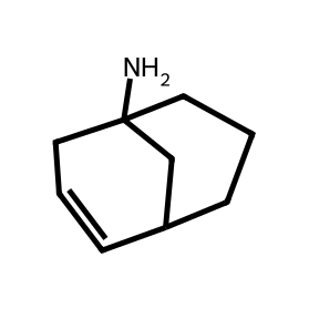 NC12CC=CC(CCC1)C2